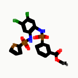 COC(=O)c1cccc(S(=O)(=O)Nc2cc(Cl)c(Cl)cc2NS(=O)(=O)c2cccs2)c1